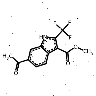 COC(=O)c1c(C(F)(F)F)[nH]c2cc(C(C)=O)ccc12